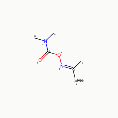 CSC(C)=NOC(=O)N(C)C